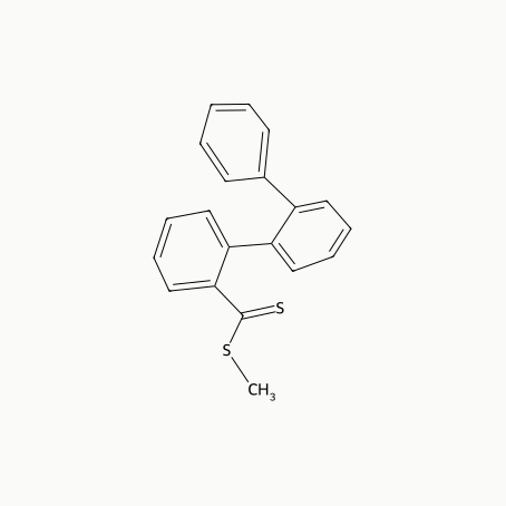 CSC(=S)c1ccccc1-c1ccccc1-c1ccccc1